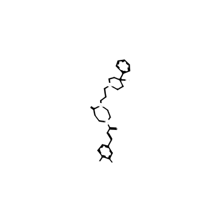 O=C(C=Cc1ccc(Cl)c(Cl)c1)N1CCC(=O)N(CCCN2CCC(O)(c3ccccc3)CC2)CC1